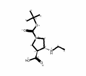 CCN[C@H]1CN(C(=O)OC(C)(C)C)C[C@@H]1C(=O)O